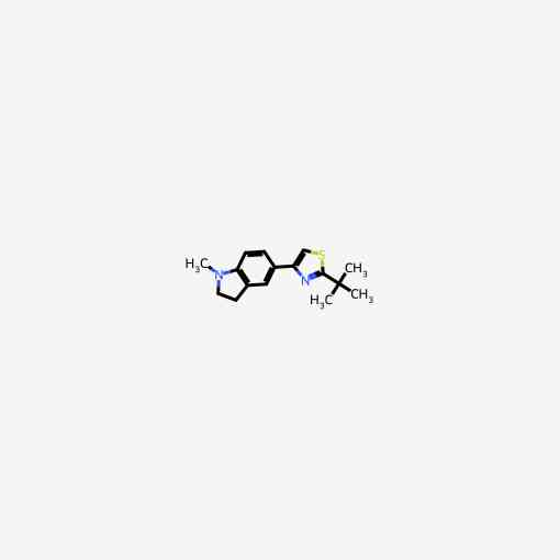 CN1CCc2cc(-c3csc(C(C)(C)C)n3)ccc21